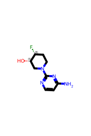 Nc1ccnc(N2CC[C@@H](F)[C@@H](O)C2)n1